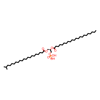 CCCCCCCCCCCCCCCCCCCCCC(=O)O[C@H](COC(=O)CCCCCCCCCCCCCCCCCCC(C)C)COP(=O)(O)O